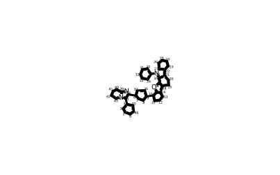 c1ccc(-c2c(-c3ccc(-c4cccc5c4oc4c5ccc5c6ccccc6n(-c6ccccc6)c54)cc3)nc3ccccn23)cc1